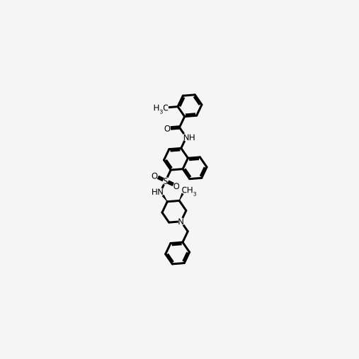 Cc1ccccc1C(=O)Nc1ccc(S(=O)(=O)N[C@@H]2CCN(Cc3ccccc3)C[C@@H]2C)c2ccccc12